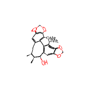 COc1c2c(cc3c1-c1c(cc4c(c1OC)OCO4)[C@@H](O)[C@@H](C)[C@@H](C)C3)OCO2